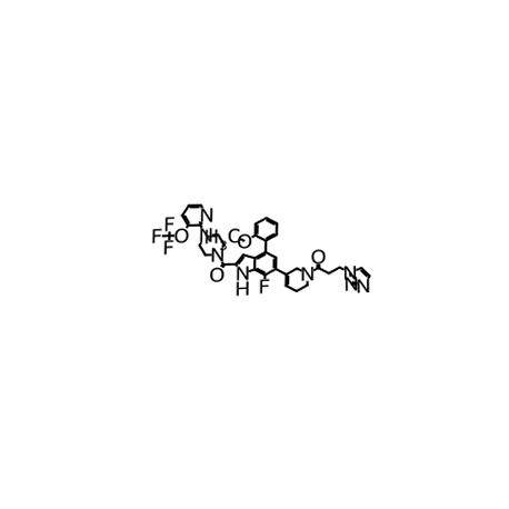 COc1ccccc1-c1cc(C2=CCCN(C(=O)CCn3ccnn3)C2)c(F)c2[nH]c(C(=O)N3CCN(c4ncccc4OC(F)(F)F)CC3)cc12